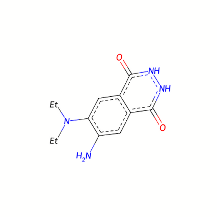 CCN(CC)c1cc2c(=O)[nH][nH]c(=O)c2cc1N